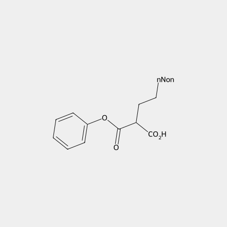 CCCCCCCCCCCC(C(=O)O)C(=O)Oc1ccccc1